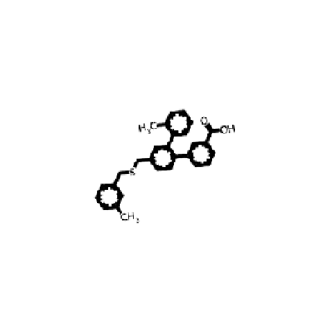 Cc1cccc(CSCc2ccc(-c3cccc(C(=O)O)c3)c(-c3ccccc3C)c2)c1